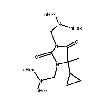 CCCCCCN(CCCCCC)CN1C(=O)N(CN(CCCCCC)CCCCCC)C(C)(C2CC2)C1=O